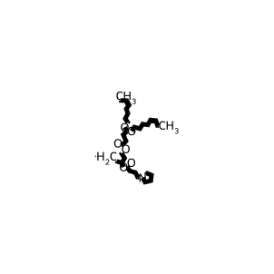 [CH2]CC(CCOC(=O)CCC(OCCCC/C=C\CC)OCCCC/C=C\CC)OC(=O)CCCN1CCCC1